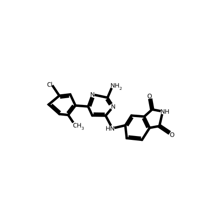 Cc1ccc(Cl)cc1-c1cc(Nc2ccc3c(c2)C(=O)NC3=O)nc(N)n1